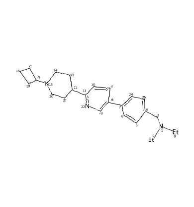 CCN(CC)Cc1ccc(-c2ccc(C3CCN(C4CCC4)CC3)nc2)cc1